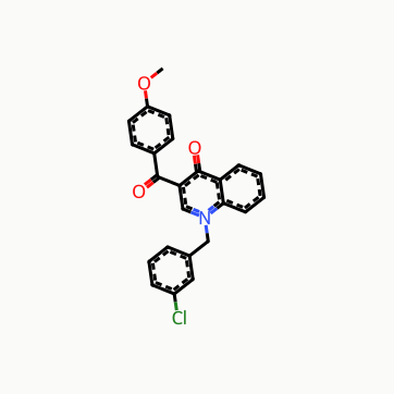 COc1ccc(C(=O)c2cn(Cc3cccc(Cl)c3)c3ccccc3c2=O)cc1